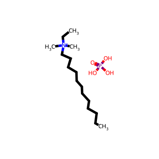 CCCCCCCCCCCC[N+](C)(C)CC.O=P(O)(O)O